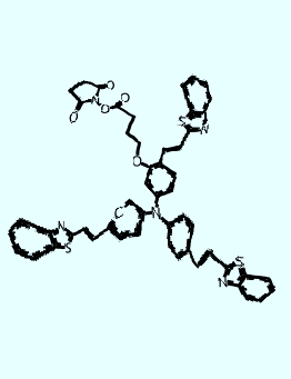 O=C(CCCOc1cc(N(c2ccc(/C=C/c3nc4ccccc4s3)cc2)c2ccc(/C=C/c3nc4ccccc4s3)cc2)ccc1/C=C/c1nc2ccccc2s1)ON1C(=O)CCC1=O